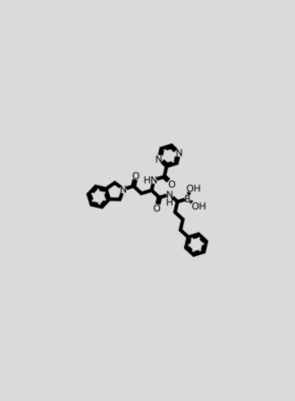 O=C(NC(CC(=O)N1Cc2ccccc2C1)C(=O)NC(CCCc1ccccc1)B(O)O)c1cnccn1